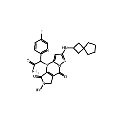 CC(C)N1Cc2c(n(C(C(N)=O)c3ccc(F)cn3)c3cc(NC4CC5(CCCC5)C4)nn3c2=O)C1=O